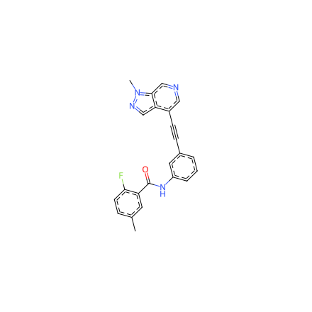 Cc1ccc(F)c(C(=O)Nc2cccc(C#Cc3cncc4c3cnn4C)c2)c1